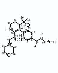 CCCCCC(C)C(C)c1cc(O)c2c(c1)OC(C)(C)C1CCNC(C(=O)CN3CCOCC3)=C21